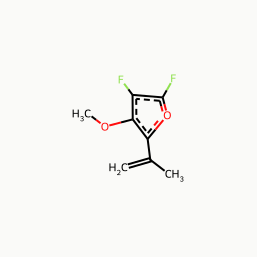 C=C(C)c1oc(F)c(F)c1OC